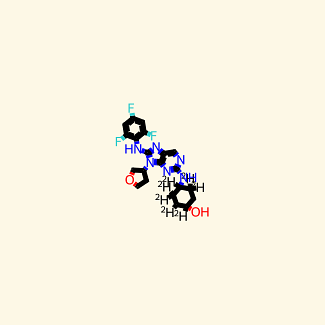 [2H]C1C([2H])(O)CC([2H])([2H])C([2H])(Nc2ncc3nc(Nc4c(F)cc(F)cc4F)n(C4CCOC4)c3n2)C1([2H])[2H]